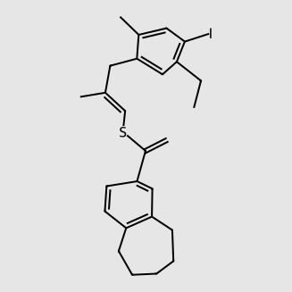 C=C(S/C=C(\C)Cc1cc(CC)c(I)cc1C)c1ccc2c(c1)CCCCC2